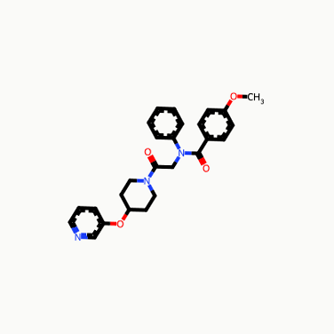 COc1ccc(C(=O)N(CC(=O)N2CCC(Oc3cccnc3)CC2)c2ccccc2)cc1